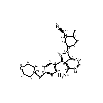 CC1CCC(n2nc(-c3ccc(CN4CCOCC4)cc3)c3c(N)ncnc32)CN1C#N